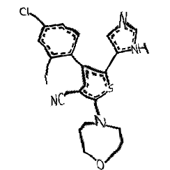 N#Cc1c(N2CCOCC2)sc(-c2cnc[nH]2)c1-c1ccc(Cl)cc1I